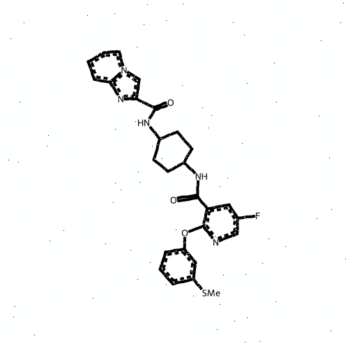 CSc1cccc(Oc2ncc(F)cc2C(=O)NC2CCC(NC(=O)c3cn4ccccc4n3)CC2)c1